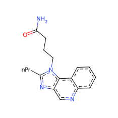 CCCc1nc2cnc3ccccc3c2n1CCCC(N)=O